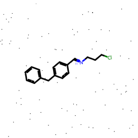 ClCCC/N=C/c1ccc(Cc2ccccc2)cc1